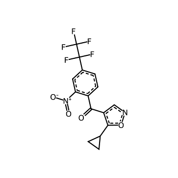 O=C(c1ccc(C(F)(F)C(F)(F)F)cc1[N+](=O)[O-])c1cnoc1C1CC1